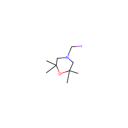 CC1(C)CN(CI)CC(C)(C)O1